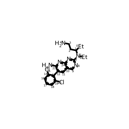 CCC(CCN)N(CC)c1ncc2cc(-c3c(Cl)cccc3Cl)c(N)nc2n1